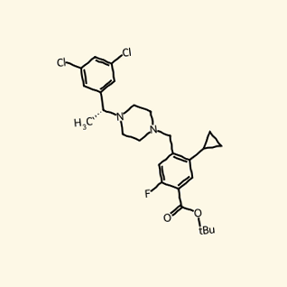 C[C@H](c1cc(Cl)cc(Cl)c1)N1CCN(Cc2cc(F)c(C(=O)OC(C)(C)C)cc2C2CC2)CC1